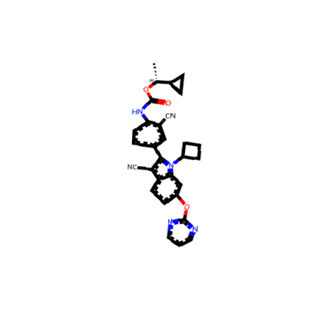 C[C@@H](OC(=O)Nc1ccc(-c2c(C#N)c3ccc(Oc4ncccn4)cc3n2C2CCC2)cc1C#N)C1CC1